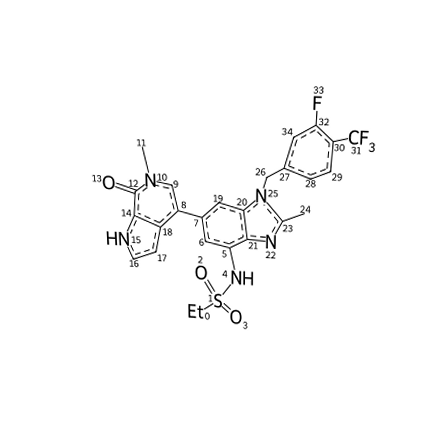 CCS(=O)(=O)Nc1cc(-c2cn(C)c(=O)c3[nH]ccc23)cc2c1nc(C)n2Cc1ccc(C(F)(F)F)c(F)c1